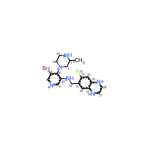 CC1CN(c2c(Br)cncc2NCc2cc3nccnc3cc2F)CCN1